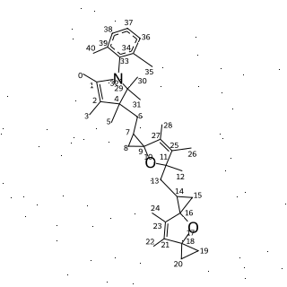 CC1=C(C)C(C)(CC2CC23OC(C)(CC2CC24OC2(CC2)C(C)=C4C)C(C)=C3C)C(C)(C)N1c1c(C)cccc1C